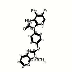 CCc1c(F)cnc2c1[nH]c(=O)n2-c1ccc(Oc2nc3cccnc3n2C)cc1